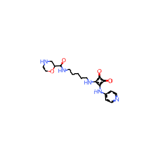 O=C(NCCCCCNc1c(Nc2ccncc2)c(=O)c1=O)C1CNCCO1